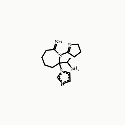 CC(N)C1(n2ccnc2)CCCCC(=N)N1C1=NCCC1